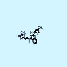 Cc1cc(Nc2nc(NCCc3n[nH]c(C)n3)c3ncccc3n2)sn1